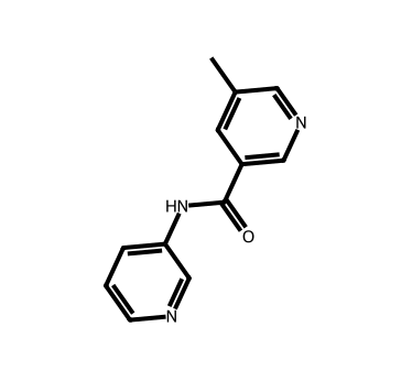 Cc1cncc(C(=O)Nc2cccnc2)c1